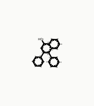 Oc1cc(-c2ccccc2)c(-c2ccccc2)c2ccccc12